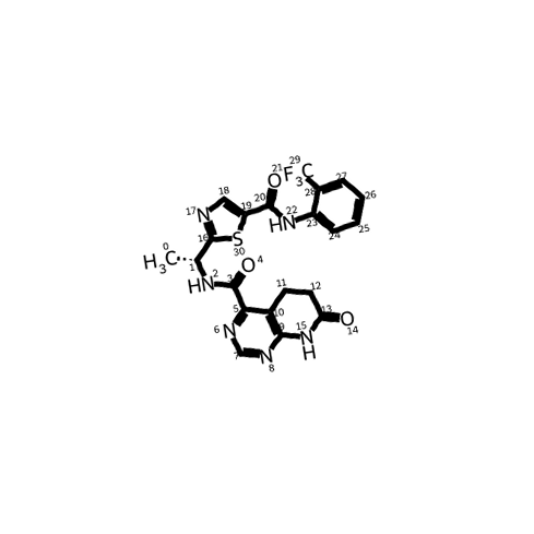 C[C@@H](NC(=O)c1ncnc2c1CCC(=O)N2)c1ncc(C(=O)Nc2ccccc2C(F)(F)F)s1